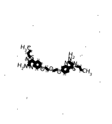 CCCc1nc2c(N)nc3cc(OCCOCCOc4ccc5c(c4)nc(N)c4nc(CCC)sc45)ccc3c2s1